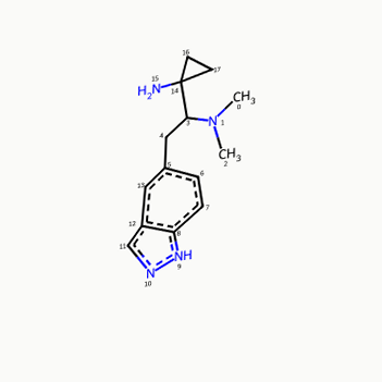 CN(C)C(Cc1ccc2[nH]ncc2c1)C1(N)CC1